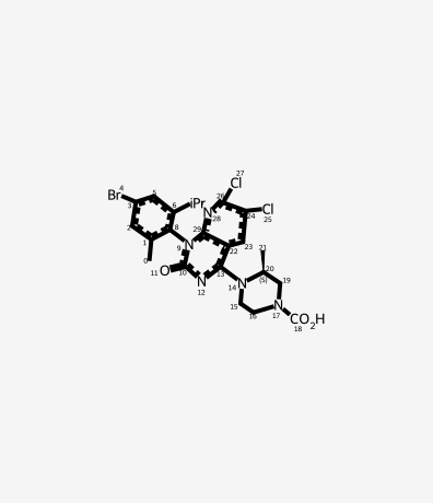 Cc1cc(Br)cc(C(C)C)c1-n1c(=O)nc(N2CCN(C(=O)O)C[C@@H]2C)c2cc(Cl)c(Cl)nc21